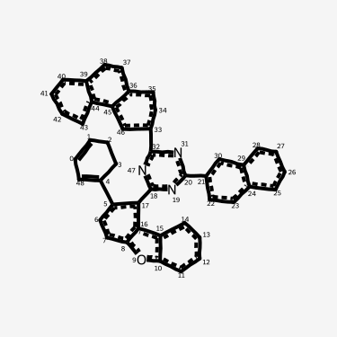 C1=CCCC(c2ccc3oc4ccccc4c3c2-c2nc(-c3ccc4ccccc4c3)nc(-c3ccc4ccc5ccccc5c4c3)n2)=C1